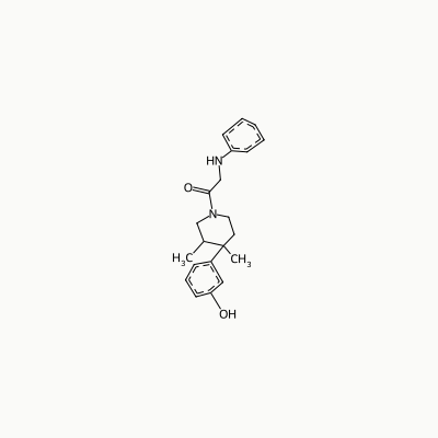 CC1CN(C(=O)CNc2ccccc2)CCC1(C)c1cccc(O)c1